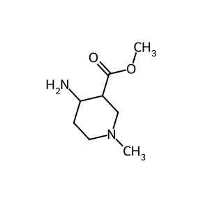 COC(=O)C1CN(C)CCC1N